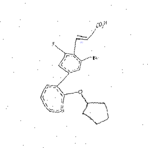 O=C(O)/C=C/c1c(F)cc(-c2cccnc2OC2CCCC2)cc1F